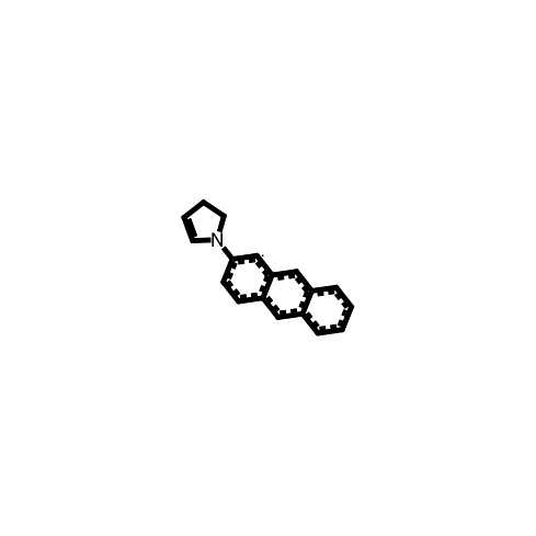 [c]1c(N2C=CCC2)ccc2cc3ccccc3cc12